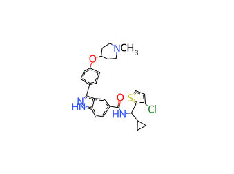 CN1CCC(Oc2ccc(-c3n[nH]c4ccc(C(=O)NC(c5sccc5Cl)C5CC5)cc34)cc2)CC1